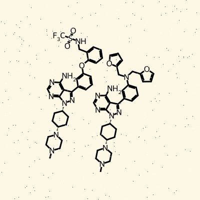 CN1CCN([C@H]2CC[C@@H](n3nc(-c4cccc(N(Cc5ccco5)Cc5ccco5)c4)c4c(N)ncnc43)CC2)CC1.CN1CCN([C@H]2CC[C@@H](n3nc(-c4cccc(Oc5ccccc5CNS(=O)(=O)C(F)(F)F)c4)c4c(N)ncnc43)CC2)CC1